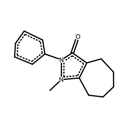 Cn1c2c(c(=O)n1-c1ccccc1)CCCCC2